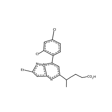 CCc1cc2nc(C(C)CCC(=O)O)cc(-c3ccc(Cl)cc3Cl)n2n1